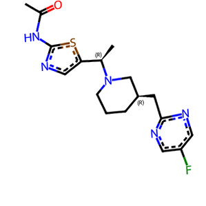 CC(=O)Nc1ncc([C@@H](C)N2CCC[C@H](Cc3ncc(F)cn3)C2)s1